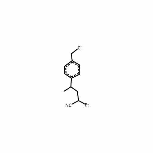 CCC(C#N)CC(C)c1ccc(CCl)cc1